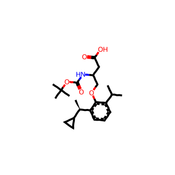 CC(C)c1cccc([C@H](C)C2CC2)c1OCC(CC(=O)O)NC(=O)OC(C)(C)C